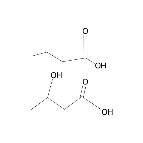 CC(O)CC(=O)O.CCCC(=O)O